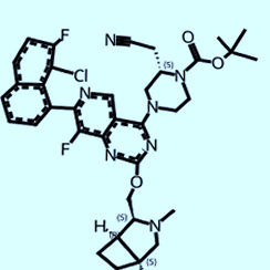 CN1C[C@H]2CC[C@H]2[C@H]1COc1nc(N2CCN(C(=O)OC(C)(C)C)[C@@H](CC#N)C2)c2cnc(-c3cccc4ccc(F)c(Cl)c34)c(F)c2n1